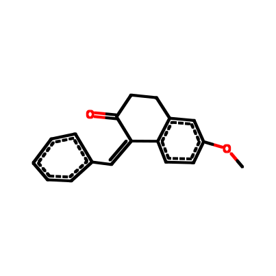 COc1ccc2c(c1)CCC(=O)C2=Cc1ccccc1